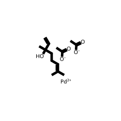 C=CC(C)(O)CCC=C(C)C.CC(=O)[O-].CC(=O)[O-].[Pd+2]